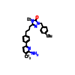 CCn1c(CCCc2ccc(-c3ccc(C(F)(F)F)c(N)n3)cc2)nn(Cc2ccc(C(C)(C)C)cc2)c1=O